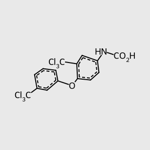 O=C(O)Nc1ccc(Oc2cccc(C(Cl)(Cl)Cl)c2)c(C(Cl)(Cl)Cl)c1